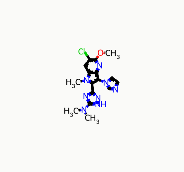 COc1nc2c(-n3ccnc3)c(-c3n[nH]c(N(C)C)n3)n(C)c2cc1Cl